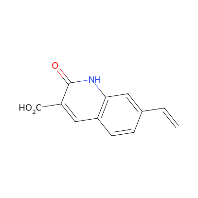 C=Cc1ccc2cc(C(=O)O)c(=O)[nH]c2c1